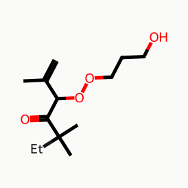 C=C(C)C(OOCCCO)C(=O)C(C)(C)CC